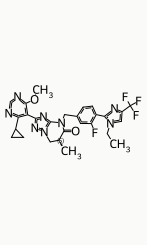 CCn1cc(C(F)(F)F)nc1-c1ccc(CN2C(=O)[C@@H](C)Cn3nc(-c4c(OC)ncnc4C4CC4)nc32)cc1F